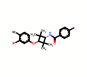 CC1(C)[C@H](NC(=O)c2ccc(I)cc2)C(C)(C)[C@H]1Oc1ccc(C#N)c(Br)c1